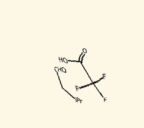 CC(C)CC=O.O=C(O)C(F)(F)F